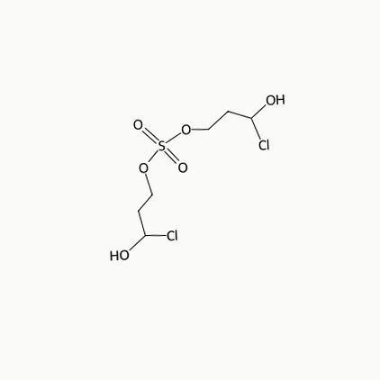 O=S(=O)(OCCC(O)Cl)OCCC(O)Cl